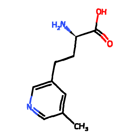 Cc1cncc(CC[C@H](N)C(=O)O)c1